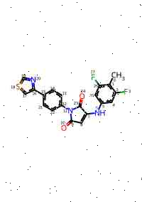 Cc1c(F)cc(NC2=CC(=O)N(c3ccc(-c4cscn4)cc3)C2=O)cc1F